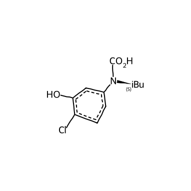 CC[C@H](C)N(C(=O)O)c1ccc(Cl)c(O)c1